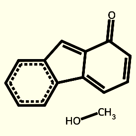 CO.O=C1C=CC=C2C1=Cc1ccccc12